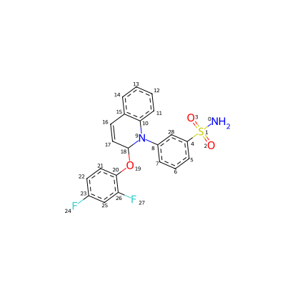 NS(=O)(=O)c1cccc(N2c3ccccc3C=CC2Oc2ccc(F)cc2F)c1